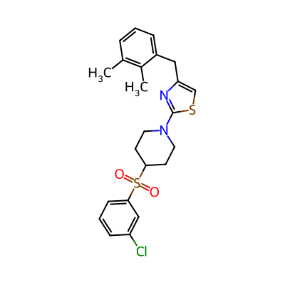 Cc1cccc(Cc2csc(N3CCC(S(=O)(=O)c4cccc(Cl)c4)CC3)n2)c1C